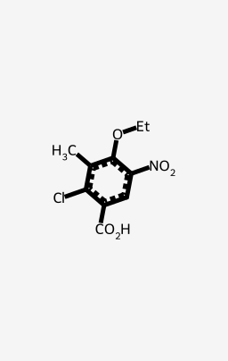 CCOc1c([N+](=O)[O-])cc(C(=O)O)c(Cl)c1C